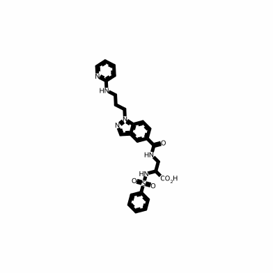 O=C(NCC(NS(=O)(=O)c1ccccc1)C(=O)O)c1ccc2c(cnn2CCCNc2ccccn2)c1